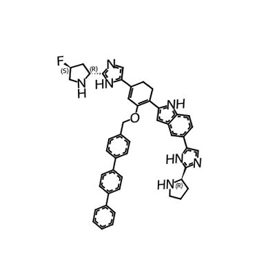 F[C@@H]1CN[C@@H](c2ncc(C3=CC(OCc4ccc(-c5ccc(-c6ccccc6)cc5)cc4)=C(c4cc5cc(-c6cnc([C@H]7CCCN7)[nH]6)ccc5[nH]4)CC3)[nH]2)C1